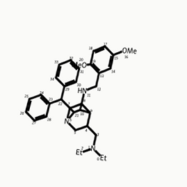 CCN(CC)CC1CN2CCC1C(NCc1cc(OC)ccc1OC)C2C(c1ccccc1)c1ccccc1